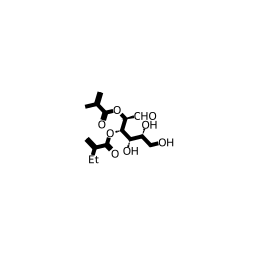 C=C(C)C(=O)O[C@@H](C=O)[C@@H](OC(=O)C(=C)CC)[C@@H](O)[C@H](O)CO